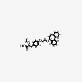 CCOC(Cc1ccc(OCCOC2C=CC3=C(CCC=C3)c3ccccc32)cc1)C(=O)O